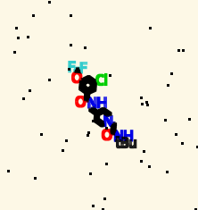 CC(C)(C)NC(=O)CN1CCC(CNC(=O)c2cc(Cl)cc(OC(F)F)c2)CC1